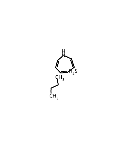 C1=CC=CNC=C1.CCCC.S